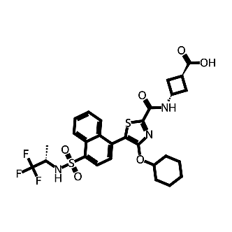 C[C@H](NS(=O)(=O)c1ccc(-c2sc(C(=O)N[C@H]3C[C@H](C(=O)O)C3)nc2OC2CCCCC2)c2ccccc12)C(F)(F)F